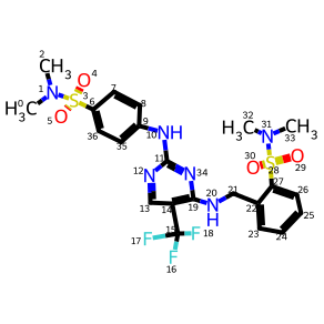 CN(C)S(=O)(=O)c1ccc(Nc2ncc(C(F)(F)F)c(NCc3ccccc3S(=O)(=O)N(C)C)n2)cc1